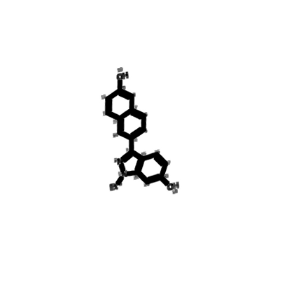 CCn1nc(-c2ccc3cc(O)ccc3c2)c2ccc(O)cc21